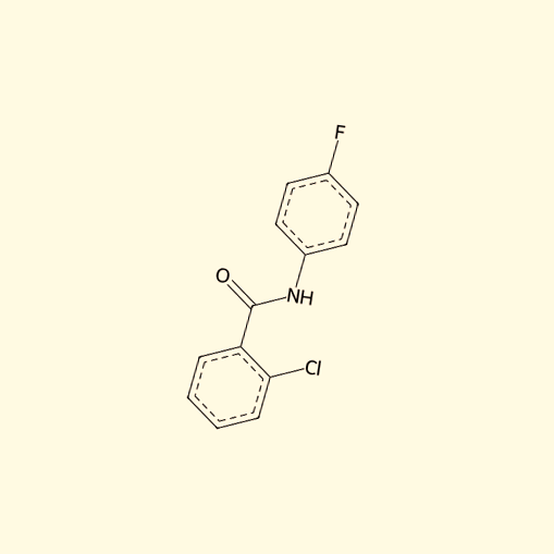 O=C(Nc1ccc(F)cc1)c1ccccc1Cl